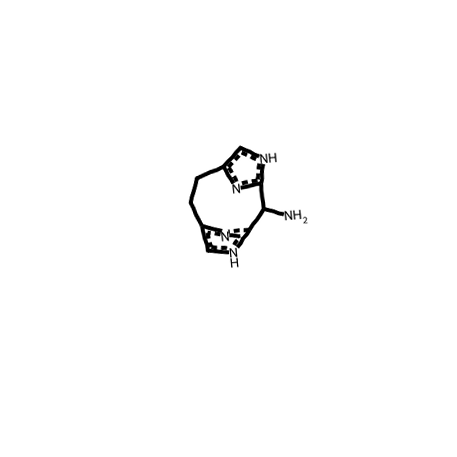 NC1c2nc(c[nH]2)CCc2c[nH]c1n2